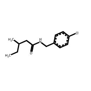 CCC(C)CC(=O)NCc1ccc(Cl)cc1